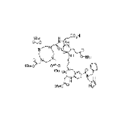 COC(=O)CC1Nc2ccc(C(=O)N(Cc3ccccc3)Cc3ncc[nH]3)cc2CN(CCCNC(=O)C(CCC(=O)OC(C)(C)C)NC(=O)[C@H](CCC(=O)O)NC(=O)CN2CCN(CC(=O)OC(C)(C)C)CCN(CC(=O)OC(C)(C)C)CCN(CC(=O)OC(C)(C)C)CC2)C1=O